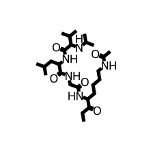 CCC(=O)C(CCCCNC(C)=O)NC(=O)CNC(=O)C(CC(C)C)NC(=O)C(NC(C)C)C(C)C